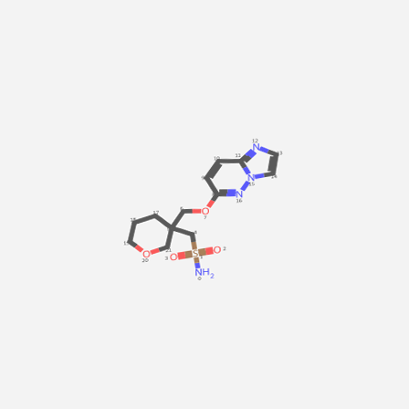 NS(=O)(=O)CC1(COc2ccc3nccn3n2)CCCOC1